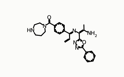 C=C/C(=N\C(=C(/C)N)c1nnc(-c2ccccc2)o1)c1ccc(C(=O)N2CCCNCC2)cc1